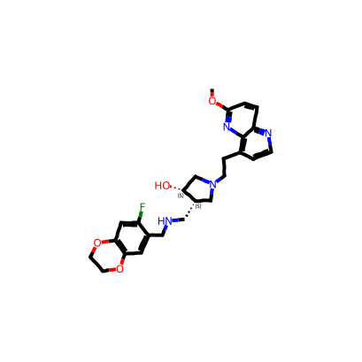 COc1ccc2nccc(CCN3C[C@H](CNCc4cc5c(cc4F)OCCO5)[C@H](O)C3)c2n1